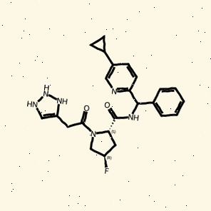 O=C(NC(c1ccccc1)c1ccc(C2CC2)cn1)[C@@H]1C[C@@H](F)CN1C(=O)CC1=CNNN1